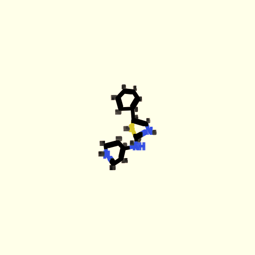 c1ccc(-c2cnc(Nc3ccncc3)s2)cc1